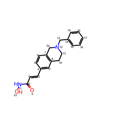 O=C(C=Cc1ccc2c(c1)CCN(Cc1ccccc1)C2)NO